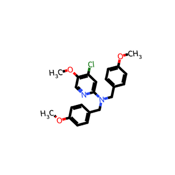 COc1ccc(CN(Cc2ccc(OC)cc2)c2cc(Cl)c(OC)cn2)cc1